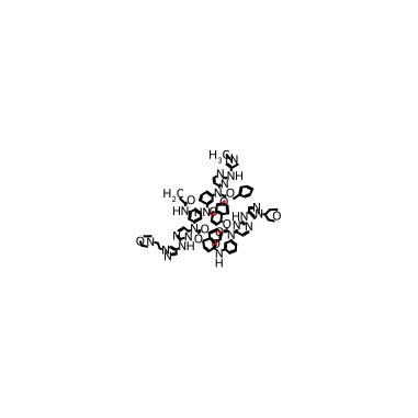 C=CC(=O)Nc1cccc(N(C(=O)OC(/C=C\C(=O)Nc2cccc(N(C(=O)OC(/C=C\C(=O)Nc3cccc(N(C(=O)OCc4ccccc4)c4ccnc(Nc5cnn(C)c5)n4)c3)c3ccccc3)c3ccnc(Nc4cnn(C5CCOCC5)c4)n3)c2)c2ccccc2)c2ccnc(Nc3cnn(CCN4CCOCC4)c3)n2)c1